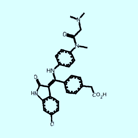 CN(C)CC(=O)N(C)c1ccc(N/C(=C2\C(=O)Nc3cc(Cl)ccc32)c2ccc(CC(=O)O)cc2)cc1